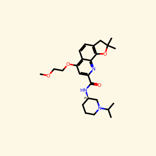 COCCOc1cc(C(=O)N[C@@H]2CCCN(C(C)C)C2)nc2c3c(ccc12)CC(C)(C)O3